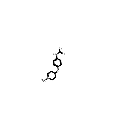 CC(C)C(=O)Nc1ccc(OC2CCN(C)CC2)cc1